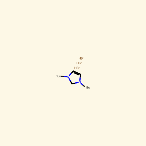 Br.Br.Br.CCCCN1C=CN(CCCC)C1